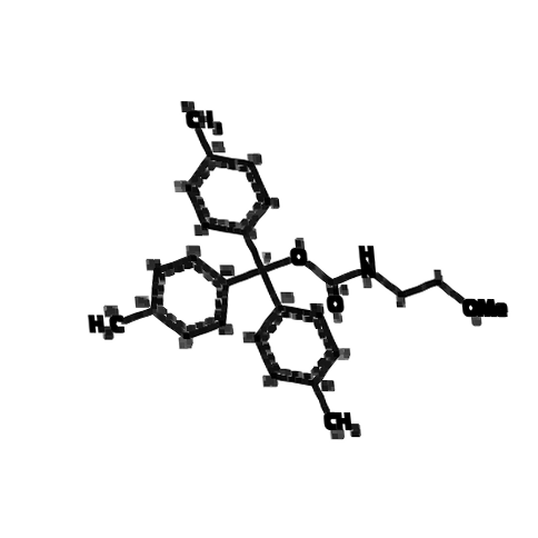 COCCNC(=O)OC(c1ccc(C)cc1)(c1ccc(C)cc1)c1ccc(C)cc1